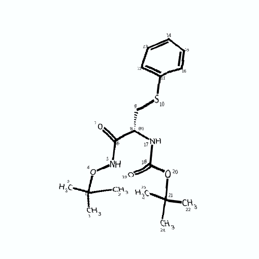 CC(C)(C)ONC(=O)[C@H](CSc1ccccc1)NC(=O)OC(C)(C)C